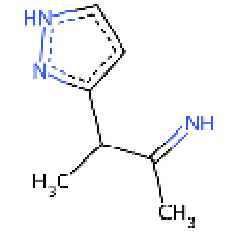 CC(=N)C(C)c1cc[nH]n1